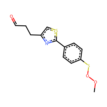 COOSc1ccc(-c2nc(CCC=O)cs2)cc1